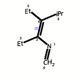 C=N/C(CC)=C(/CC)C(C)C